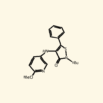 CCCCn1sc(-c2ccccc2)c(Nc2ccc(OC)nc2)c1=O